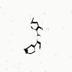 Cc1cc(O)c(C(=O)NC([C]=O)c2ccccc2)cn1